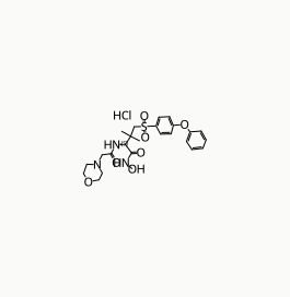 CC(C)(CS(=O)(=O)c1ccc(Oc2ccccc2)cc1)[C@H](NC(=O)CN1CCOCC1)C(=O)NO.Cl